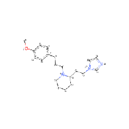 COc1ccc(CCCN2CCCCC2CCn2ccnc2)cc1